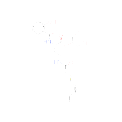 CC/C=C\CSCC(=O)NCCC(NC(=O)c1ccccc1O)C(=O)OC(CO)CO